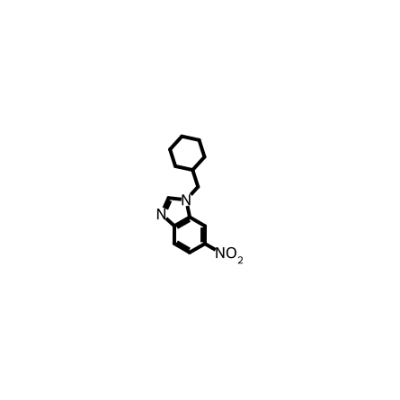 O=[N+]([O-])c1ccc2ncn(CC3CCCCC3)c2c1